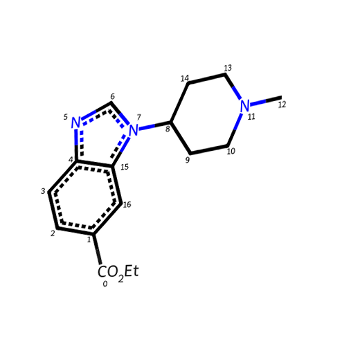 CCOC(=O)c1ccc2ncn(C3CCN(C)CC3)c2c1